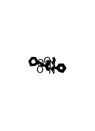 CCn1c(-c2ccccc2)ncc(C(=O)OC2CCCCC2)c1=O